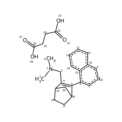 CN(C)CC1=C(c2cncc3ccccc23)C2CCC1C2.O=C(O)CCC(=O)O